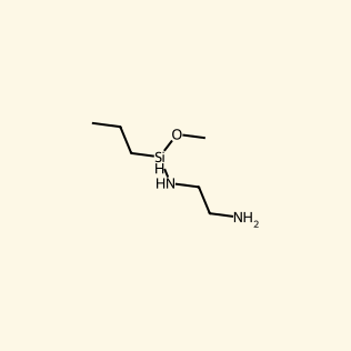 CCC[SiH](NCCN)OC